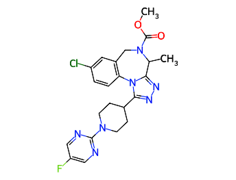 COC(=O)N1Cc2cc(Cl)ccc2-n2c(C3CCN(c4ncc(F)cn4)CC3)nnc2C1C